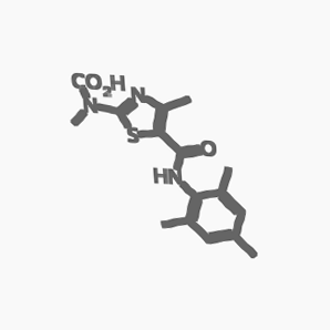 Cc1cc(C)c(NC(=O)c2sc(N(C)C(=O)O)nc2C)c(C)c1